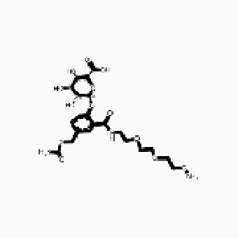 NOCCOCCOCCNC(=O)c1cc(COC(N)=O)ccc1O[C@@H]1O[C@H](C(=O)O)[C@@H](O)[C@H](O)[C@H]1O